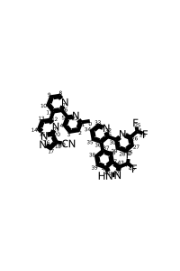 Cc1cccc(-c2ncccc2-c2ccn3ncc(C#N)c3n2)n1.FC(F)c1cccc(-c2ncccc2-c2ccc3[nH]nc(C(F)F)c3c2)n1